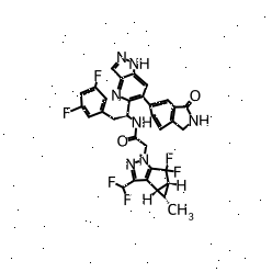 C[C@@H]1[C@@H]2c3c(C(F)F)nn(CC(=O)N[C@@H](Cc4cc(F)cc(F)c4)c4nc5cn[nH]c5cc4-c4ccc5c(c4)C(=O)NC5)c3C(F)(F)[C@H]12